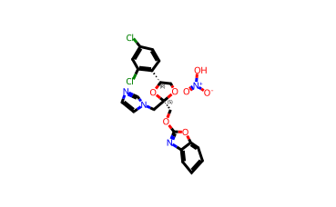 Clc1ccc([C@@H]2CO[C@@](COc3nc4ccccc4o3)(Cn3ccnc3)O2)c(Cl)c1.O=[N+]([O-])O